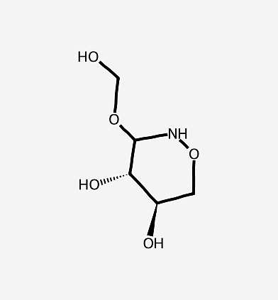 OCOC1NOC[C@@H](O)[C@@H]1O